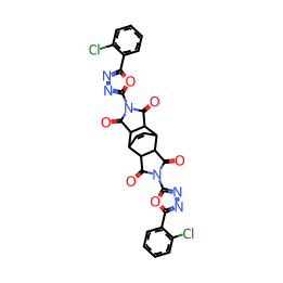 O=C1C2C3C=CC(C2C(=O)N1c1nnc(-c2ccccc2Cl)o1)C1C(=O)N(c2nnc(-c4ccccc4Cl)o2)C(=O)C31